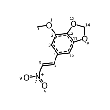 COc1cc(C=C[N+](=O)[O-])cc2c1OCO2